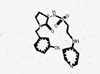 N#Cc1cccc(CN2CC[C@H](NS(=O)(=O)CCNc3ccncc3)C2=O)c1